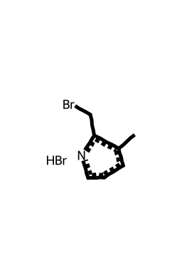 Br.Cc1cccnc1CBr